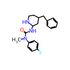 CN(C(=O)NC1CC(Cc2ccccc2)CCN1)c1ccc(F)cc1